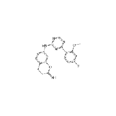 COc1cc(F)ccc1-c1ncnc(Nc2ccc3c(c2)OC(=N)CC3)n1